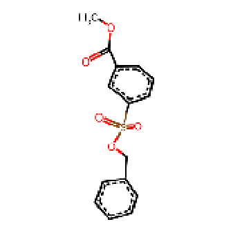 COC(=O)c1cccc(S(=O)(=O)OCc2ccccc2)c1